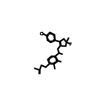 C=C(C)CCc1ccc(C(C)CC2=C(c3ccc(Cl)cc3)CC(C)(F)C2)c(C)c1C